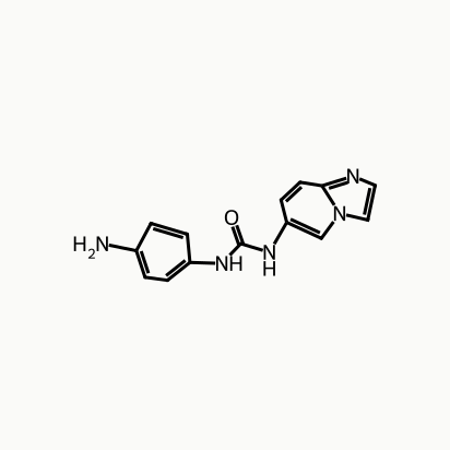 Nc1ccc(NC(=O)Nc2ccc3nccn3c2)cc1